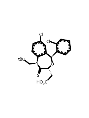 CC(C)(C)CN1C(=S)[C@@H](CC(=O)O)O[C@H](c2ccccc2Cl)c2cc(Cl)ccc21